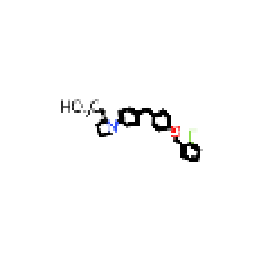 O=C(O)C[C@@H]1CCCN1c1ccc(Cc2ccc(OCc3ccccc3F)cc2)cc1